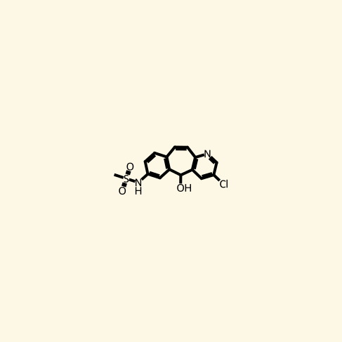 CS(=O)(=O)Nc1ccc2c(c1)C(O)c1cc(Cl)cnc1C=C2